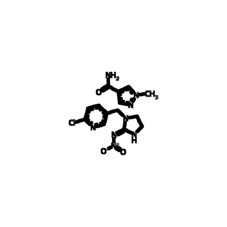 Cn1cc(C(N)=O)cn1.O=[N+]([O-])/N=C1\NCCN1Cc1ccc(Cl)nc1